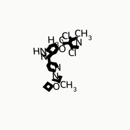 Cc1ncc(Cl)c([C@@H](C)Oc2ccc3[nH]nc(-c4ccc(N5CC(C)(OC6CCC6)C5)nc4)c3c2)c1Cl